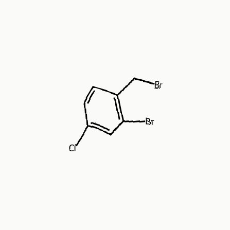 Clc1ccc(CBr)c(Br)c1